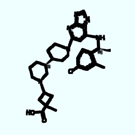 Cc1cc(Cl)ccc1[C@@H](C)Nc1cc(N2CCC([C@H]3CCCN(C4CC(C)(C(=O)O)C4)C3)CC2)nc2ncnn12